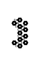 CCc1ccccc1N(c1cc2c3c(c1)N(c1ccccc1)c1ccccc1B3c1cc3c(cc1S2)Sc1cc(N(c2ccccc2CC)c2ccccc2CC)cc2c1B3c1ccccc1N2c1ccccc1)c1ccccc1CC